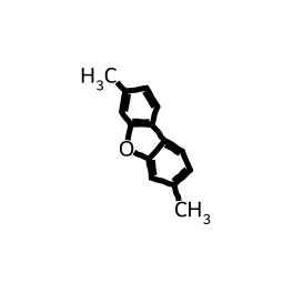 Cc1ccc2c(c1)oc1cc(C)ccc12